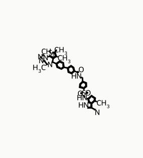 Cc1sc2c(c1C)C(c1ccc(-c3ccc(C(=O)NCc4ccc(S(=O)(=O)Nc5ccc(C)c6c(C#N)c[nH]c56)cc4)cc3)cc1)=N[C@@H](C)c1nnc(C)n1-2